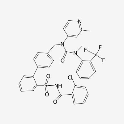 Cc1cc(N(Cc2ccc(-c3ccccc3S(=O)(=O)NC(=O)c3ccccc3Cl)cc2)C(=O)N(C)c2ccccc2C(F)(F)F)ccn1